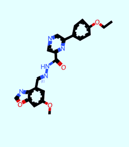 CCOc1ccc(-c2cncc(C(=O)N/N=C/c3cc(OC)cc4ocnc34)n2)cc1